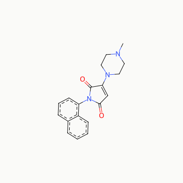 CN1CCN(C2=CC(=O)N(c3cccc4ccccc34)C2=O)CC1